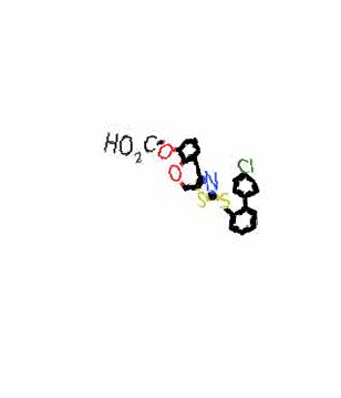 O=C(O)COc1cccc2c1OCc1sc(SCc3ccccc3-c3ccc(Cl)cc3)nc1-2